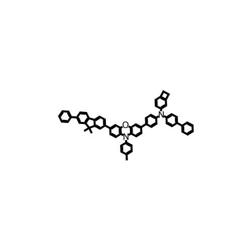 Cc1ccc(N2c3ccc(-c4ccc(N(c5ccc(-c6ccccc6)cc5)c5ccc6c(c5)CC6)cc4)cc3Oc3cc(-c4ccc5c(c4)C(C)(C)c4cc(-c6ccccc6)ccc4-5)ccc32)cc1